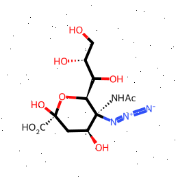 CC(=O)N[C@]1(N=[N+]=[N-])[C@@H](O)C[C@](O)(C(=O)O)O[C@H]1C(O)[C@H](O)CO